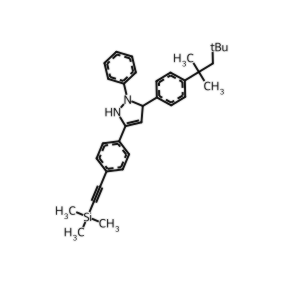 CC(C)(C)CC(C)(C)c1ccc(C2C=C(c3ccc(C#C[Si](C)(C)C)cc3)NN2c2ccccc2)cc1